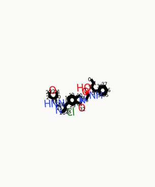 CCC(O)C(NC(=O)CN1Cc2ccc(-c3nc(NC4CCOCC4)ncc3Cl)cc2C1=O)c1ccccc1